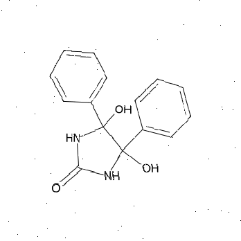 O=C1NC(O)(c2ccccc2)C(O)(c2ccccc2)N1